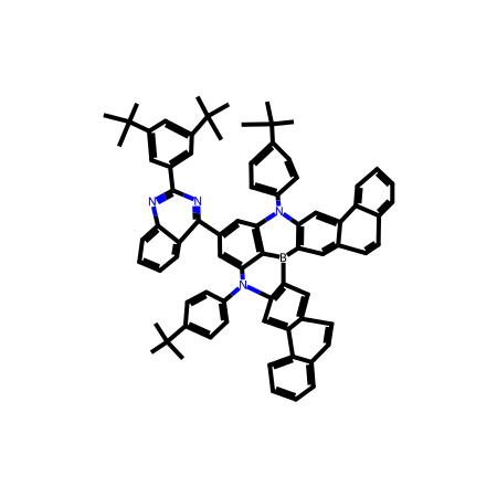 CC(C)(C)c1ccc(N2c3cc4c(ccc5ccccc54)cc3B3c4cc5ccc6ccccc6c5cc4N(c4ccc(C(C)(C)C)cc4)c4cc(-c5nc(-c6cc(C(C)(C)C)cc(C(C)(C)C)c6)nc6ccccc56)cc2c43)cc1